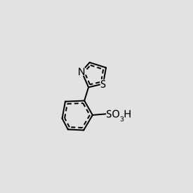 O=S(=O)(O)c1ccccc1-c1nccs1